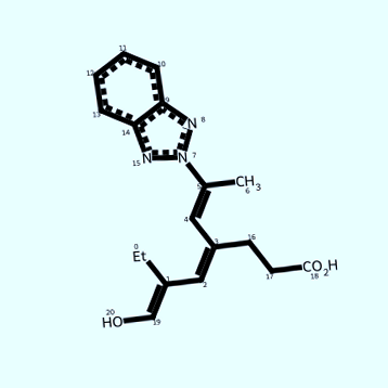 CCC(/C=C(\C=C(/C)n1nc2ccccc2n1)CCC(=O)O)=C\O